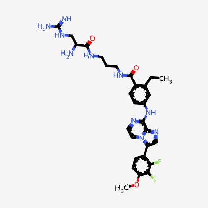 CCc1cc(Nc2nccn3c(-c4ccc(OC)c(F)c4F)cnc23)ccc1C(=O)NCCCNC(=O)C(N)CNC(=N)N